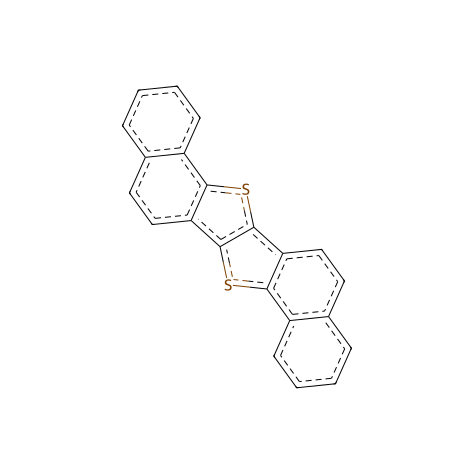 c1ccc2c(c1)ccc1c2sc2c3ccc4ccccc4c3sc12